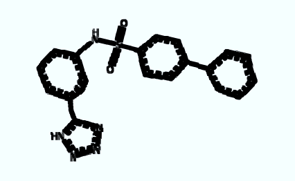 O=S(=O)(Nc1cccc(-c2nnn[nH]2)c1)c1ccc(-c2ccccc2)cc1